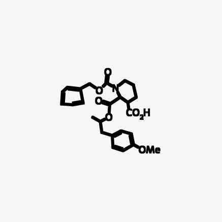 COc1ccc(CC(C)OC(=O)C2C(C(=O)O)CCCN2C(=O)OCc2ccccc2)cc1